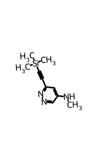 CNc1cnnc(C#C[Si](C)(C)C)c1